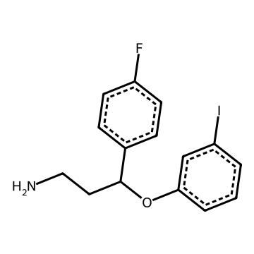 NCCC(Oc1cccc(I)c1)c1ccc(F)cc1